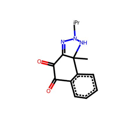 CC(C)N1N=C2C(=O)C(=O)c3ccccc3C2(C)N1